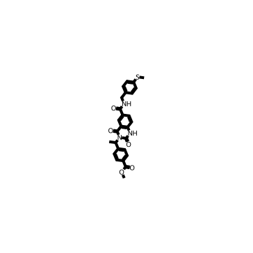 COC(=O)c1ccc(C(C)n2c(=O)[nH]c3ccc(C(=O)NCc4ccc(SC)cc4)cc3c2=O)cc1